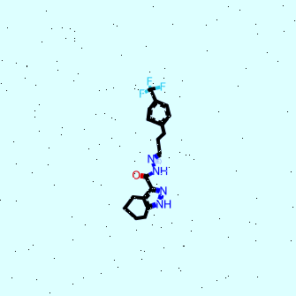 O=C(N/N=C/CCc1ccc(C(F)(F)F)cc1)c1n[nH]c2c1CCCC2